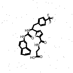 O=C(O)CCNC(=O)c1ccc(C(Cc2ccc(C(F)(F)F)cc2)NC(=O)Nc2ccc3ccccc3c2)s1